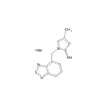 Br.Cc1cn(Cc2cccc3nsnc23)c(=N)o1